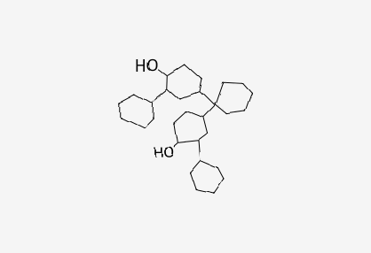 OC1CCC(C2(C3CCC(O)C(C4CCCCC4)C3)CCCCC2)CC1C1CCCCC1